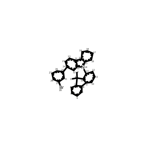 CC1(C)c2ccccc2-c2cccc(-n3c4ccccc4c4ccc(-c5cccc(Br)c5)cc43)c21